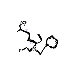 C=C/C(=C\C=C(/C)C(C)C)N(CCF)Cc1ccccc1